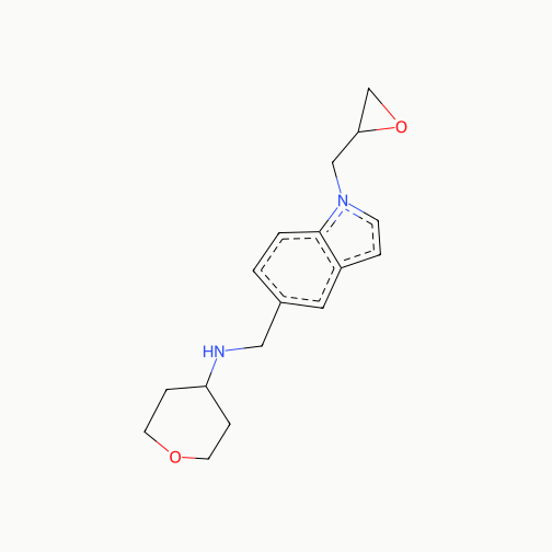 c1cc2c(ccn2CC2CO2)cc1CNC1CCOCC1